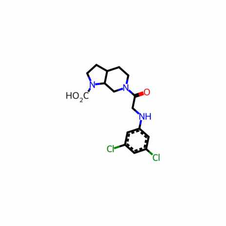 O=C(CNc1cc(Cl)cc(Cl)c1)N1CCC2CCN(C(=O)O)C2C1